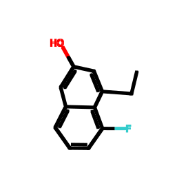 CCc1cc(O)cc2cccc(F)c12